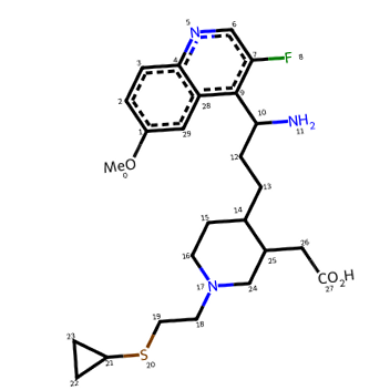 COc1ccc2ncc(F)c(C(N)CCC3CCN(CCSC4CC4)CC3CC(=O)O)c2c1